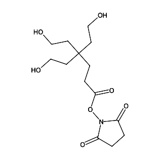 O=C(CCC(CCO)(CCO)CCO)ON1C(=O)CCC1=O